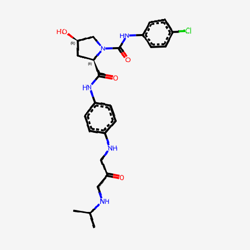 CC(C)NCC(=O)CNc1ccc(NC(=O)[C@H]2C[C@@H](O)CN2C(=O)Nc2ccc(Cl)cc2)cc1